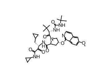 COc1ccc2c(O[C@@H]3CC(C(=O)N[C@@H](CC4CC4)C(=O)C(=O)NC4CC4)N(C(=O)[C@@H](NC(=O)NC(C)(C)C)C(C)(C)C)C3)nccc2c1